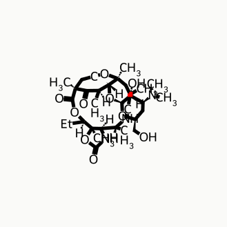 CC[C@H]1OC(=O)[C@@]2(C)CCO[C@@](C)(C[C@@H](C)CN[C@H](C)[C@H]3NC(=O)O[C@@]31C)[C@H](O[C@@H]1O[C@H](CO)C[C@H](N(C)C)[C@H]1O)[C@@H](C)C2=O